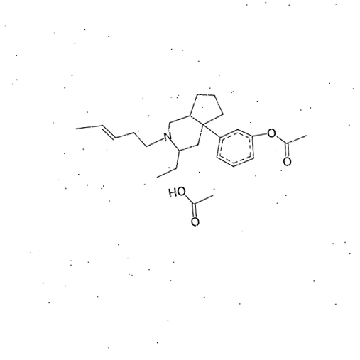 C/C=C/CCN1CC2CCCC2(c2cccc(OC(C)=O)c2)CC1CC.CC(=O)O